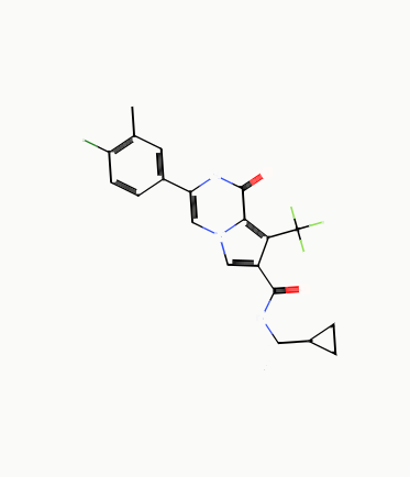 Cc1cc(-c2cn3cc(C(=O)N[C@@H](C)C4CC4)c(C(F)(F)F)c3c(=O)[nH]2)ccc1Cl